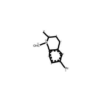 CC(C)c1ccc2c(c1)CCC(C)N2C=O